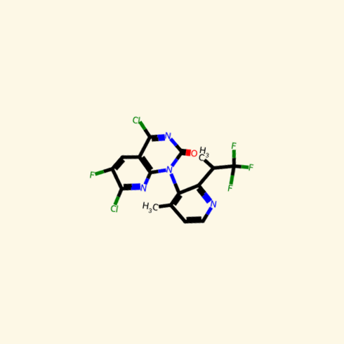 Cc1ccnc(C(C)C(F)(F)F)c1-n1c(=O)nc(Cl)c2cc(F)c(Cl)nc21